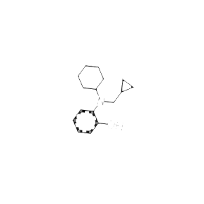 Oc1ccccc1N(CC1CC1)C1CCCCC1